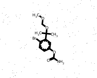 COCOC(C)(C)c1cc(OC(N)=O)ccc1Br